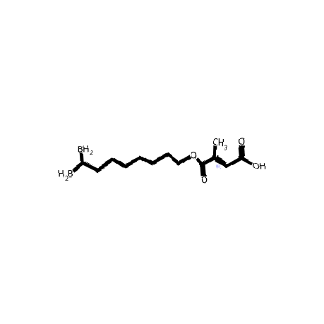 BC(B)CCCCCCCOC(=O)/C(C)=C/C(=O)O